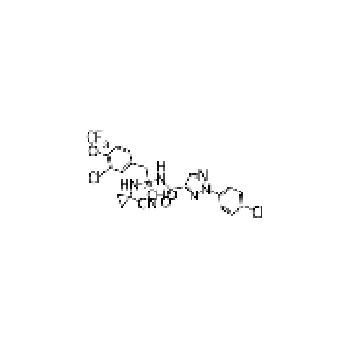 N#CC1(N[C@@](C=O)(Cc2ccc(OC(F)(F)F)c(Cl)c2)NC(=O)c2cnn(-c3ccc(Cl)cc3)n2)CC1